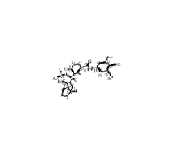 CS(=O)(=O)NC[C@@]1(O)C2CC[C@H]1C[C@H](S(=O)(=O)c1cc(C(=O)Nc3cc(F)c(F)c(F)c3)ccc1Cl)C2